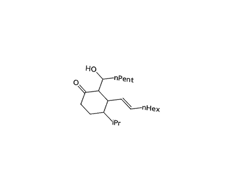 CCCCCCC=CC1C(C(C)C)CCC(=O)C1C(O)CCCCC